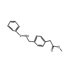 COC(=O)Cc1ccc(CNSc2ccccc2)cc1